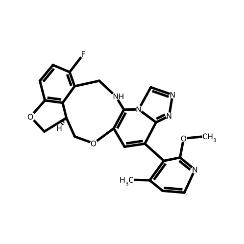 COc1nccc(C)c1-c1cc2c(n3cnnc13)NCc1c(F)ccc3c1[C@H](CO3)CO2